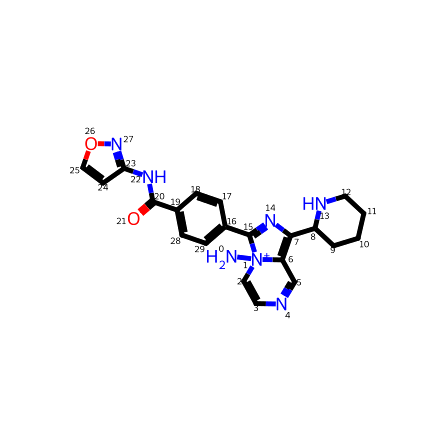 N[N+]12C=CN=CC1=C(C1CCCCN1)N=C2c1ccc(C(=O)Nc2ccon2)cc1